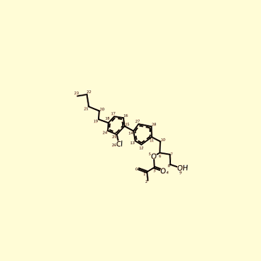 C=C(C)C(=O)OC(CCO)Cc1ccc(-c2ccc(CCCCC)cc2Cl)cc1